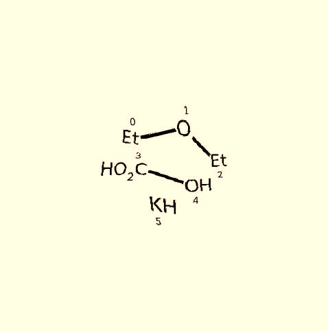 CCOCC.O=C(O)O.[KH]